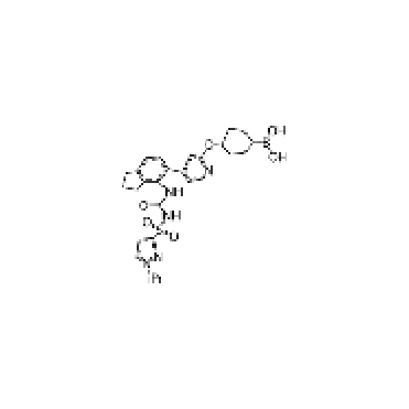 CC(C)n1ccc(S(=O)(=O)NC(=O)Nc2c(-c3ccnc(OC4CCC(B(O)O)CC4)c3)ccc3c2CCC3)n1